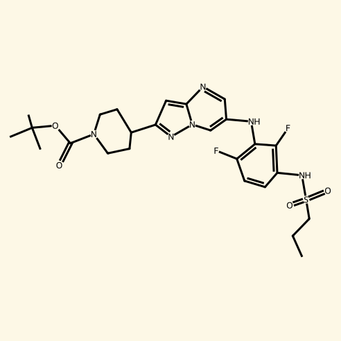 CCCS(=O)(=O)Nc1ccc(F)c(Nc2cnc3cc(C4CCN(C(=O)OC(C)(C)C)CC4)nn3c2)c1F